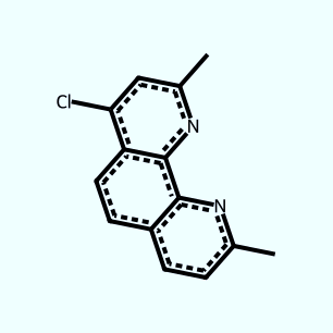 Cc1ccc2ccc3c(Cl)cc(C)nc3c2n1